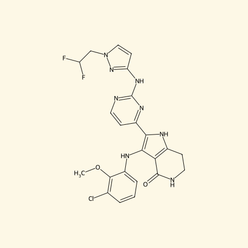 COc1c(Cl)cccc1Nc1c(-c2ccnc(Nc3ccn(CC(F)F)n3)n2)[nH]c2c1C(=O)NCC2